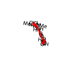 COc1cc(Nc2c(C#N)cnc3cc(OCCCNCCNCCCCCCOCCOCCOCCCCCC(=O)Nc4cccc5c4C(=O)N(C4CCC(=O)NC4=O)C5=O)c(OC)cc23)c(Cl)cc1Cl